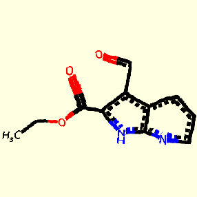 CCOC(=O)c1[nH]c2ncccc2c1C=O